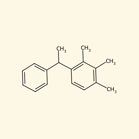 Cc1ccc(C(C)c2ccccc2)c(C)c1C